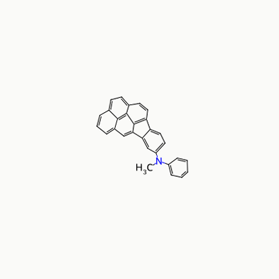 CN(c1ccccc1)c1ccc2c(c1)-c1cc3cccc4ccc5ccc-2c1c5c43